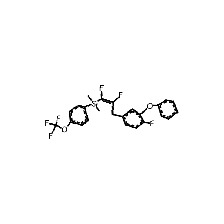 C[Si](C)(C(F)=C(F)Cc1ccc(F)c(Oc2ccccc2)c1)c1ccc(OC(F)(F)F)cc1